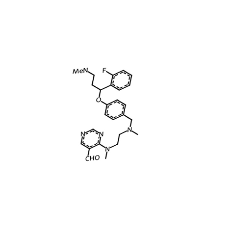 CNCCC(Oc1ccc(CN(C)CCN(C)c2ncncc2C=O)cc1)c1ccccc1F